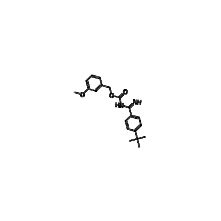 COc1cccc(COC(=O)NC(=N)c2ccc(C(C)(C)C)cc2)c1